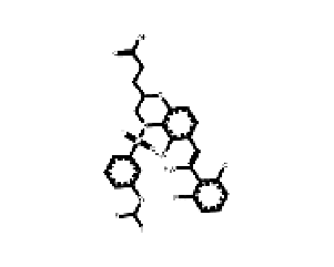 CC(=Cc1ccc2c(c1C)N(S(=O)(=O)c1cccc(OC(F)F)c1)CC(CCC(=O)O)O2)c1c(F)cccc1Cl